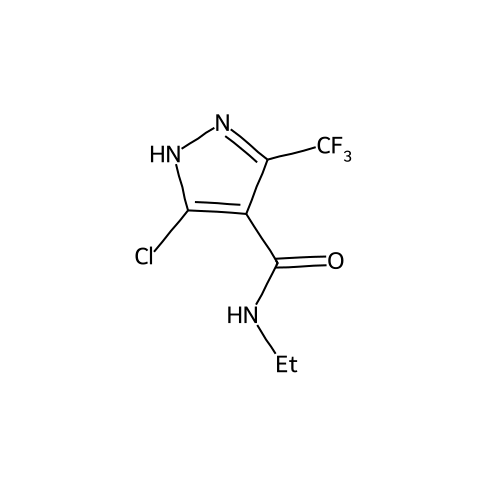 CCNC(=O)c1c(C(F)(F)F)n[nH]c1Cl